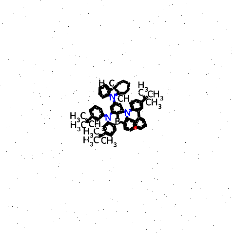 CC(C)(C)c1cccc(N2c3cc(C(C)(C)C)ccc3B3c4ccccc4N(c4ccc(C(C)(C)C)cc4-c4ccccc4)c4cc(N5c6ccccc6C6(C)CCCCCC56C)cc2c43)c1